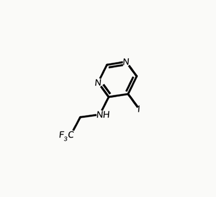 FC(F)(F)CNc1ncncc1I